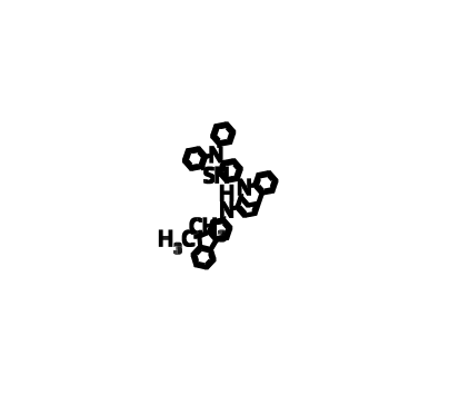 CC1(C)c2ccccc2-c2ccc(NC3=CC=C4CC3N(c3ccc(N(c5ccccc5)c5ccccc5S)cc3)c3ccccc34)cc21